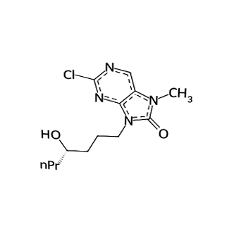 CCC[C@H](O)CCCn1c(=O)n(C)c2cnc(Cl)nc21